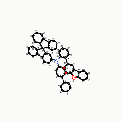 c1ccc(-c2ccc(N(c3ccc4c(c3)C3(c5ccccc5-c5ccccc53)c3ccccc3-4)c3ccccc3-c3ccc4oc5ccccc5c4c3)cc2)cc1